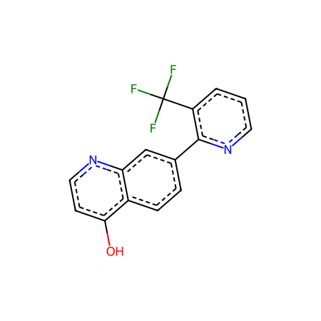 Oc1ccnc2cc(-c3ncccc3C(F)(F)F)ccc12